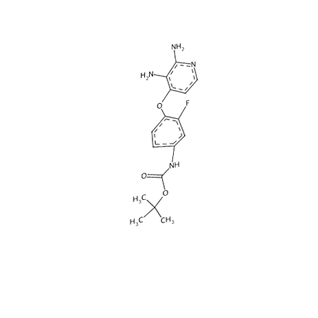 CC(C)(C)OC(=O)Nc1ccc(Oc2ccnc(N)c2N)c(F)c1